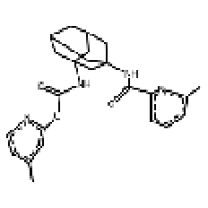 Cc1ccnc(OC(=O)NC23CC4CC(C2)CC(NC(=O)c2cccc(C)n2)(C4)C3)c1